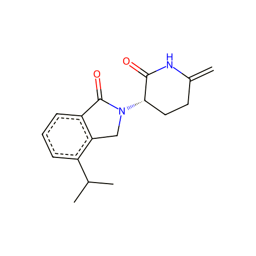 C=C1CC[C@H](N2Cc3c(cccc3C(C)C)C2=O)C(=O)N1